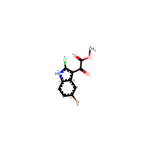 COC(=O)C(=O)c1c(Cl)[nH]c2ccc(Br)cc12